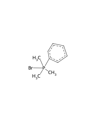 CP(C)(C)(Br)c1ccccc1